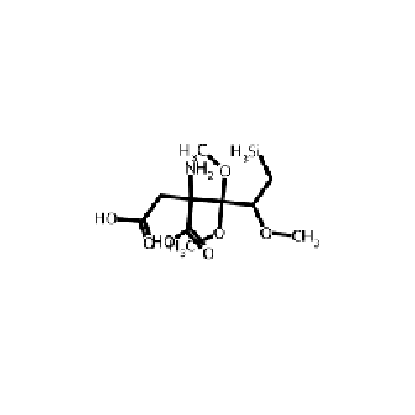 COC(C[SiH3])C(OC)(OC)C(N)(CC(=O)O)C(=O)O